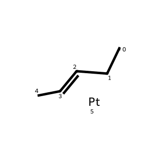 [CH2]CC=CC.[Pt]